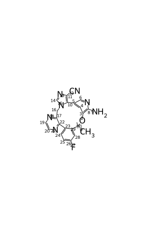 C[C@H]1Oc2cc(cnc2N)-c2c(C#N)ncn2Cc2nccnc2-c2ccc(F)cc21